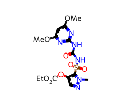 CCOC(=O)Oc1cnn(C)c1S(=O)(=O)NC(=O)Nc1nc(OC)cc(OC)n1